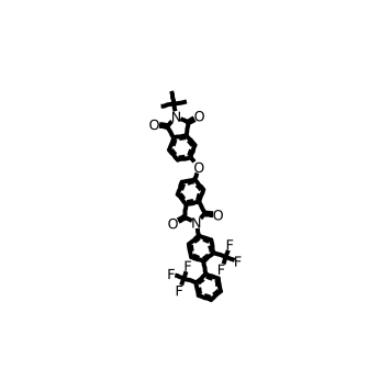 CC(C)(C)N1C(=O)c2ccc(Oc3ccc4c(c3)C(=O)N(c3ccc(-c5ccccc5C(F)(F)F)c(C(F)(F)F)c3)C4=O)cc2C1=O